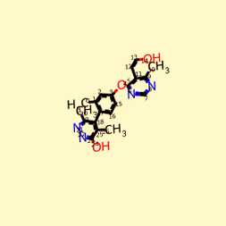 Cc1cc(Oc2ncnc(C)c2/C=C\O)ccc1-c1c(C)nnc(O)c1C